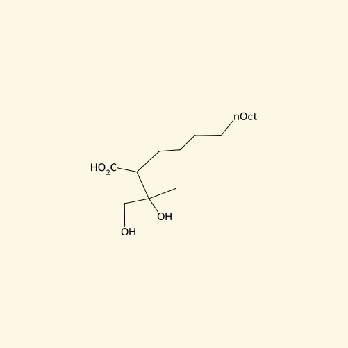 CCCCCCCCCCCCC(C(=O)O)C(C)(O)CO